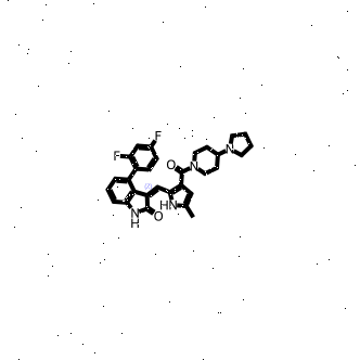 Cc1cc(C(=O)N2CCC(N3CCCC3)CC2)c(/C=C2\C(=O)Nc3cccc(-c4ccc(F)cc4F)c32)[nH]1